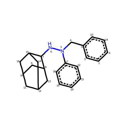 c1ccc(CN(NC2C3CC4CC(C3)CC2C4)c2ccccc2)cc1